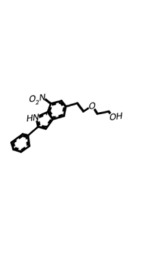 O=[N+]([O-])c1cc(CCOCCO)cc2cc(-c3ccccc3)[nH]c12